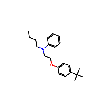 CCCCN(CCOc1ccc(C(C)(C)C)cc1)c1ccccc1